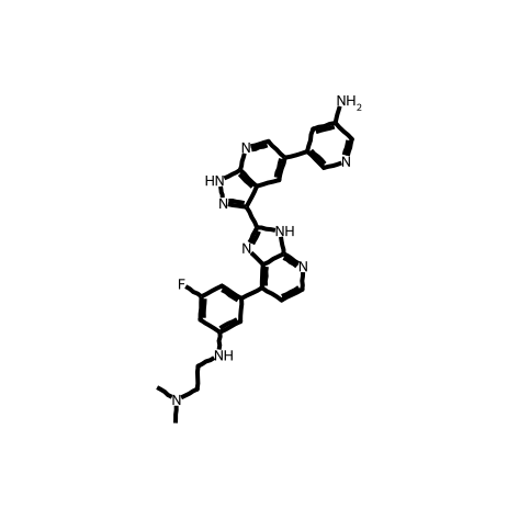 CN(C)CCNc1cc(F)cc(-c2ccnc3[nH]c(-c4n[nH]c5ncc(-c6cncc(N)c6)cc45)nc23)c1